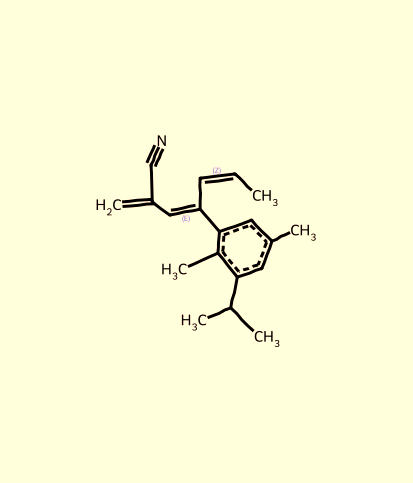 C=C(C#N)/C=C(\C=C/C)c1cc(C)cc(C(C)C)c1C